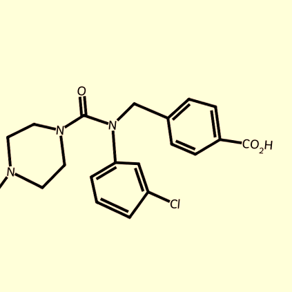 CCN1CCN(C(=O)N(Cc2ccc(C(=O)O)cc2)c2cccc(Cl)c2)CC1